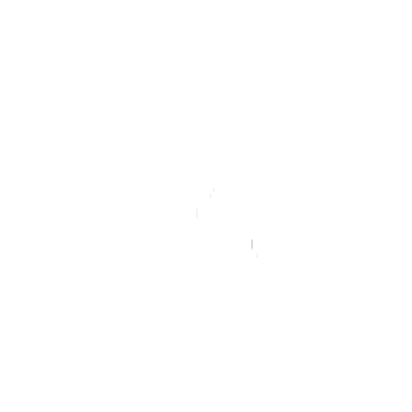 Cc1c(C)c(C)[p]([Zr+2][C]2=CC=CC2)c1C.[Cl-].[Cl-]